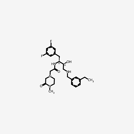 CCc1cccc(CNC[C@H](O)[C@H](Cc2cc(F)cc(F)c2)NC(=O)CN2CCN(C)C(=O)C2)c1